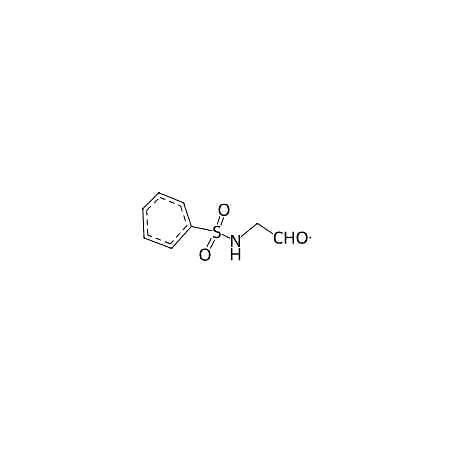 O=[C]CNS(=O)(=O)c1ccccc1